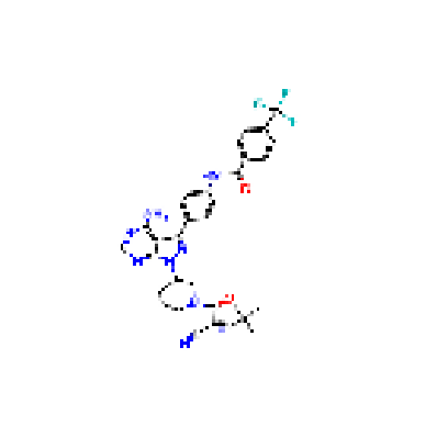 CC(C)(C)/C=C(/C#N)C(=O)N1CCCC(n2nc(-c3ccc(NC(=O)c4ccc(C(F)(F)F)cc4)cc3)c3c(N)ncnc32)C1